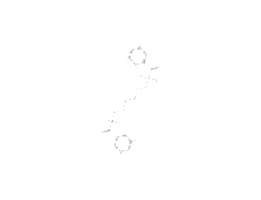 CC(C)(CCCCCCC(C)(C)C(=O)c1ccccc1)C(=O)c1ccccc1